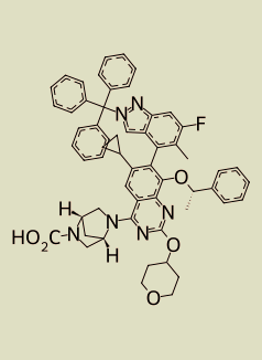 Cc1c(F)cc2nn(C(c3ccccc3)(c3ccccc3)c3ccccc3)cc2c1-c1c(C2CC2)cc2c(N3C[C@@H]4C[C@H]3CN4C(=O)O)nc(OC3CCOCC3)nc2c1O[C@@H](C)c1ccccc1